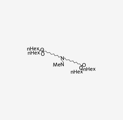 CCCCCCC(CCCCCC)OC(=O)CCCCCCCCCN(CCCCCCCCCC(=O)OC(CCCCCC)CCCCCC)CCNC